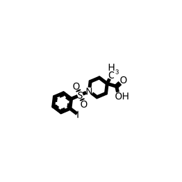 CC1(C(=O)O)CCN(S(=O)(=O)c2ccccc2I)CC1